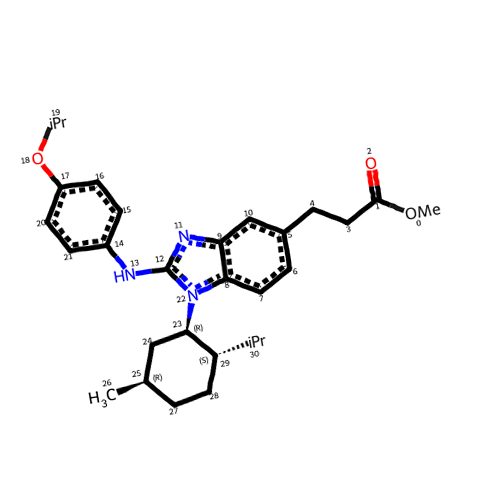 COC(=O)CCc1ccc2c(c1)nc(Nc1ccc(OC(C)C)cc1)n2[C@@H]1C[C@H](C)CC[C@H]1C(C)C